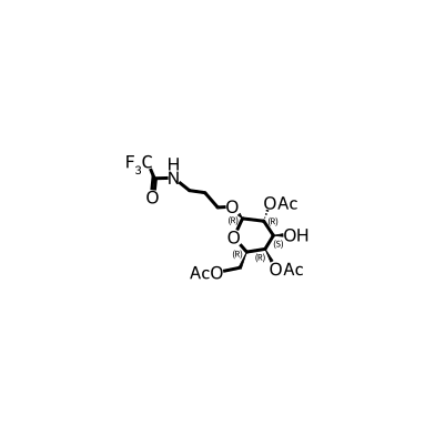 CC(=O)OC[C@H]1O[C@@H](OCCCNC(=O)C(F)(F)F)[C@H](OC(C)=O)[C@@H](O)[C@H]1OC(C)=O